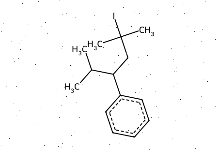 CC(C)C(CC(C)(C)I)c1ccccc1